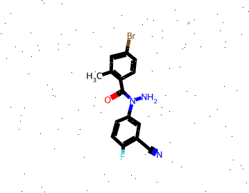 Cc1cc(Br)ccc1C(=O)N(N)c1ccc(F)c(C#N)c1